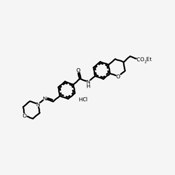 CCOC(=O)CC1COc2cc(NC(=O)c3ccc(C=NN4CCOCC4)cc3)ccc2C1.Cl